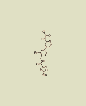 CC(C)c1cc(-c2ccnc(NC(=O)C3CC3)c2)ccc1CNC(=O)c1noc(C(C)(C)C)n1